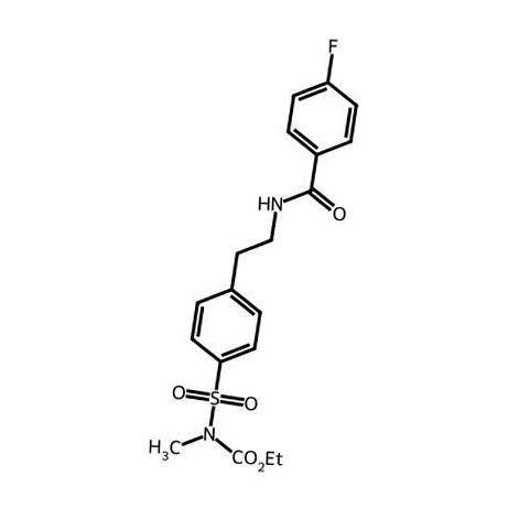 CCOC(=O)N(C)S(=O)(=O)c1ccc(CCNC(=O)c2ccc(F)cc2)cc1